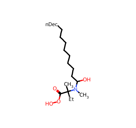 CCCCCCCCCCCCCCCCCCC(O)N(C)C(C)(CC)C(=O)OO